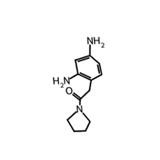 Nc1ccc(CC(=O)N2CCCC2)c(N)c1